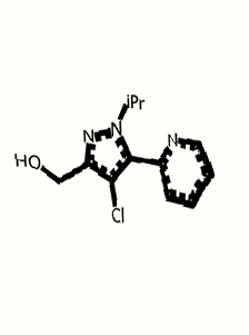 CC(C)n1nc(CO)c(Cl)c1-c1ccccn1